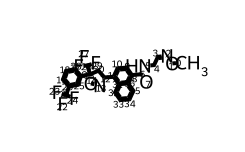 CO/N=C\CNC(=O)c1ccc(C2=NOC(c3cccc(C(F)(F)F)c3)(C(F)(F)F)C2)c2ccccc12